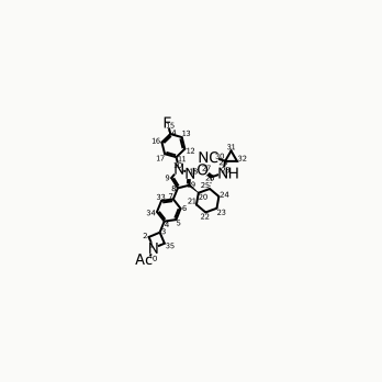 CC(=O)N1CC(c2ccc(-c3cn(-c4ccc(F)cc4)nc3[C@@H]3CCCC[C@H]3C(=O)NC3(C#N)CC3)cc2)C1